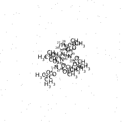 CC(C)(C)OC(=O)CN(CCN(CC(=O)OC(C)(C)C)CC(N)(Cc1ccccc1)N(CC(=O)OC(C)(C)C)CC(=O)OC(C)(C)C)CC(=O)OC(C)(C)C